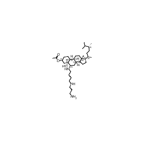 CC(=O)O[C@H]1CC[C@]2(C)[C@H]3CC[C@]4(C)[C@@H]([C@H](C)CC[C@@H](C)C(C)C)CC[C@H]4[C@@H]3C[C@@H](NCCCCNCCCN)[C@@]2(O)C1